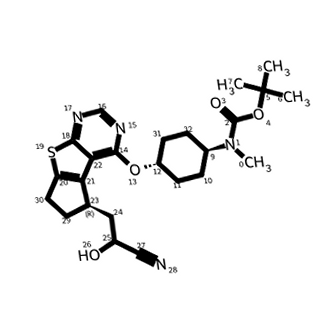 CN(C(=O)OC(C)(C)C)[C@H]1CC[C@H](Oc2ncnc3sc4c(c23)[C@@H](CC(O)C#N)CC4)CC1